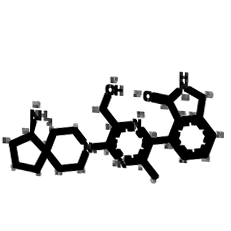 Cc1nc(N2CCC3(CCC[C@H]3N)CC2)c(CO)nc1-c1cccc2c1C(=O)NC2